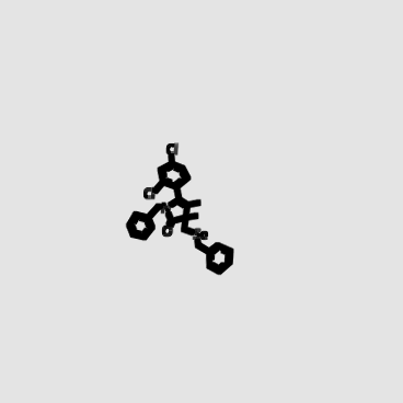 CC1=C(c2ccc(Cl)cc2Cl)N(Cc2ccccc2)C(=O)C1(C)C[Se]Cc1ccccc1